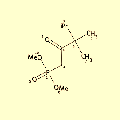 COP(=O)(CC(=O)C(C)(C)C(C)C)OC